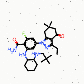 CCc1nn(-c2cc(F)c(C(N)=O)c(NC3CCCCC3NCC(C)(C)C)c2)c2c1C(=O)CC(C)(C)C2